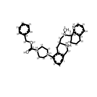 CN(CC1Cc2c(cccc2N2CCN(C(=O)OCc3ccccc3)CC2)CN1)C1CCCc2cccnc21